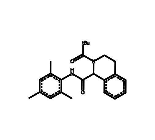 Cc1cc(C)c(NC(=O)C2c3ccccc3CCN2C(=O)C(C)(C)C)c(C)c1